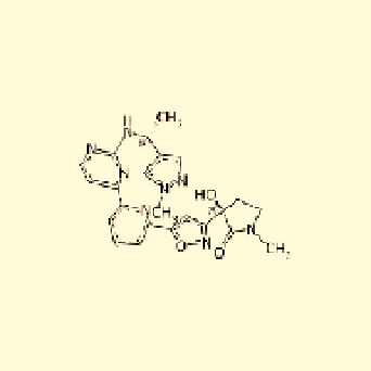 C[C@@H](Nc1nccc(-c2cccc(-c3cc([C@]4(O)CCN(C)C4=O)no3)n2)n1)c1cnn(C)c1